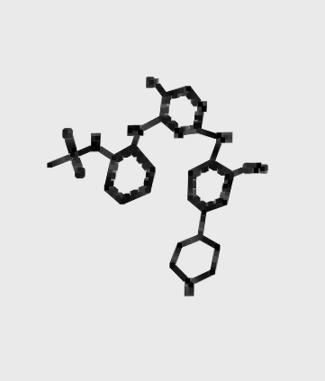 COc1cc(C2CCNCC2)ccc1Nc1ncc(Br)c(Nc2ccccc2NS(C)(=O)=O)n1